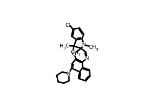 CN1c2ccc(Cl)cc2C(C)(C)C12C=Nc1c(cc(N3CCCCC3)c3ccccc13)O2